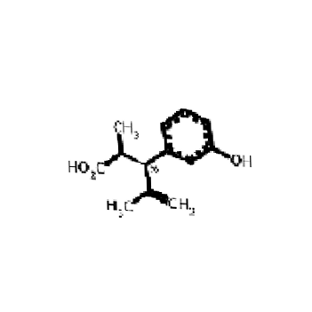 C=C(C)[C@H](c1cccc(O)c1)C(C)C(=O)O